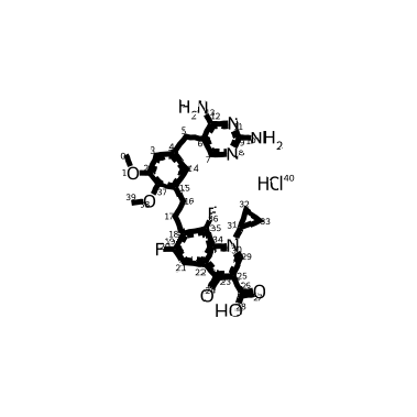 COc1cc(Cc2cnc(N)nc2N)cc(CCc2c(F)cc3c(=O)c(C(=O)O)cn(C4CC4)c3c2F)c1OC.Cl